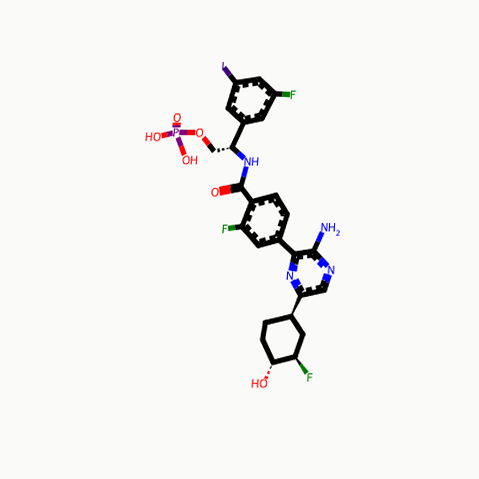 Nc1ncc([C@@H]2CC[C@@H](O)[C@H](F)C2)nc1-c1ccc(C(=O)N[C@H](COP(=O)(O)O)c2cc(F)cc(I)c2)c(F)c1